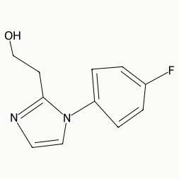 OCCc1nccn1-c1ccc(F)cc1